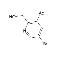 CC(=O)c1cc(Br)cnc1CC#N